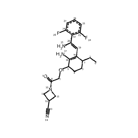 CCC1CCC(OCC(=O)N2CC(C#N)C2)C(N)=C1/C=C(\N)c1c(F)cccc1F